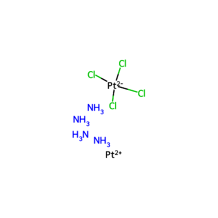 N.N.N.N.[Cl][Pt-2]([Cl])([Cl])[Cl].[Pt+2]